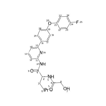 CC(C)CC(NC(=O)CO)C(=O)Nc1cccc(-c2ccc(Oc3ccc(F)cc3)cc2)n1